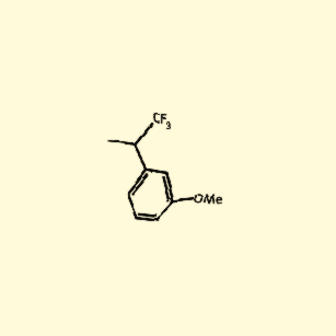 COc1cccc(C(C)C(F)(F)F)c1